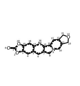 O=c1oc2cc3cc4cn5cc6c(cc5c4nc3cc2o1)COC6